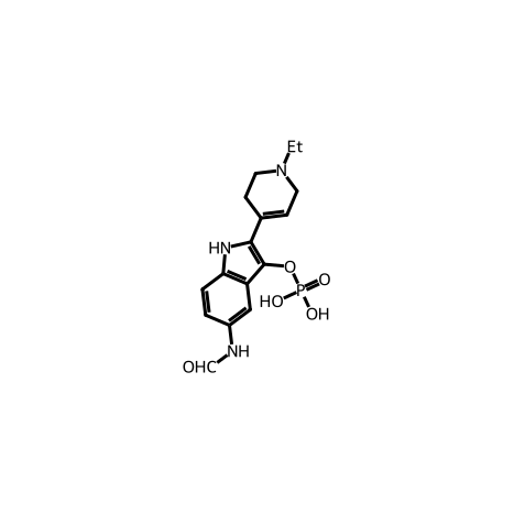 CCN1CC=C(c2[nH]c3ccc(NC=O)cc3c2OP(=O)(O)O)CC1